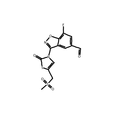 CS(=O)(=O)Cc1cn(-c2noc3c(F)cc(C=O)cc23)c(=O)s1